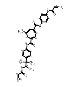 C=CC(=O)Oc1ccc(OC(=O)C2=CC=C(C(=O)Oc3ccc(C(C)(C)C(C)OC(=O)C=C)cc3)CC(C)=C2)cc1